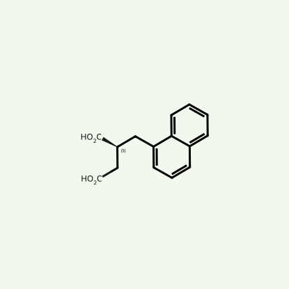 O=C(O)C[C@H](Cc1cccc2ccccc12)C(=O)O